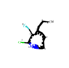 N#CCc1ccnc(Cl)c1F